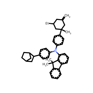 C=C1CC(CC)CC(C)(c2ccc(N(c3ccc(C4CC5CCC4C5)cc3)c3cccc4c3C(C)(C)c3ccccc3-4)cc2)C1